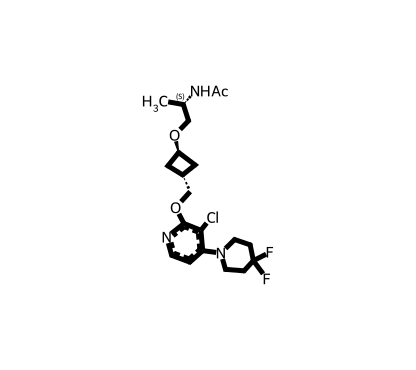 CC(=O)N[C@@H](C)CO[C@H]1C[C@H](COc2nccc(N3CCC(F)(F)CC3)c2Cl)C1